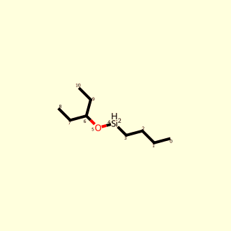 CCCC[SiH2]OC(CC)CC